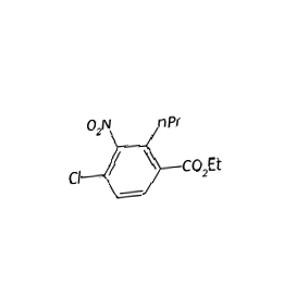 CCCc1c(C(=O)OCC)ccc(Cl)c1[N+](=O)[O-]